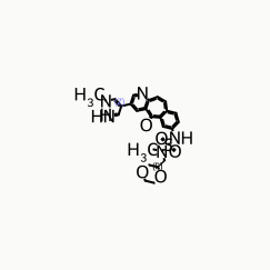 CN/C=C(\C=N)c1cnc2ccc3ccc(NS(=O)(=O)N(C)C[C@@H]4COCCO4)cc3c(=O)c2c1